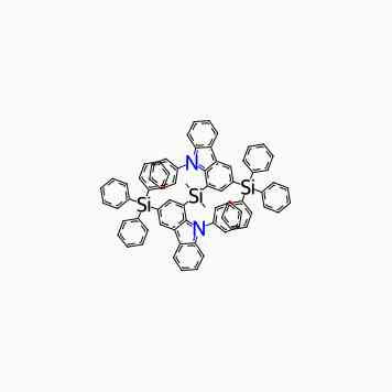 C[Si](C)(c1cc([Si](c2ccccc2)(c2ccccc2)c2ccccc2)cc2c3ccccc3n(-c3ccccc3)c12)c1cc([Si](c2ccccc2)(c2ccccc2)c2ccccc2)cc2c3ccccc3n(-c3ccccc3)c12